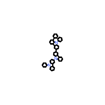 c1ccc(-c2cccc3c4cc(-c5ccc6c(c5)c5ccccc5n6-c5ccc6c(c5)c5ccccc5n6-c5ccccc5)ccc4n(-c4ccccc4)c23)cc1